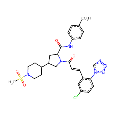 CS(=O)(=O)N1CCC(C2CC(C(=O)Nc3ccc(C(=O)O)cc3)N(C(=O)/C=C/c3cc(Cl)ccc3-n3cnnn3)C2)CC1